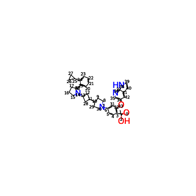 O=C(O)c1ccc(N2CCC(C3CC(N4CCC[C@H]4c4ccccc4C4CC4)C3)CC2)cc1Oc1cnc2[nH]ccc2c1